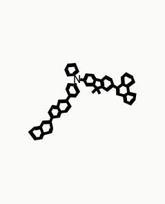 CC1(C)c2cc(-c3cc4ccccc4c4ccccc34)ccc2-c2ccc(N(c3ccccc3)c3ccc(-c4ccc5cc(-c6ccc7ccccc7c6)ccc5c4)cc3)cc21